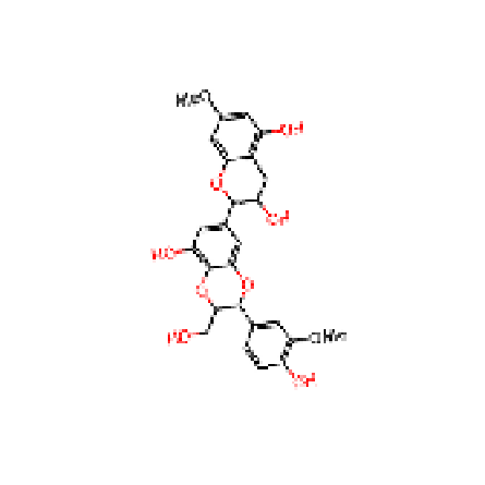 COc1cc(O)c2c(c1)OC(c1cc(O)c3c(c1)OC(c1ccc(O)c(OC)c1)C(CO)O3)C(O)C2